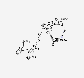 CNN(C)Cc1cc2ccccc2n1CCC(=O)N[C@@H](CCC(N)=O)C(=O)NCCOCCOCCC(=O)N(C)[C@@H](C)C(=O)O[C@H]1CC(=O)N(C)c2cc(cc(OC)c2Cl)C/C(C)=C/C=C/[C@@H](OC)[C@@]2(O)C[C@H](OC(=O)N2)[C@@H](C)C2O[C@]21C